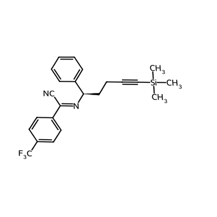 C[Si](C)(C)C#CCC[C@@H](/N=C(\C#N)c1ccc(C(F)(F)F)cc1)c1ccccc1